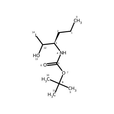 CCC[C@@H](NC(=O)OC(C)(C)C)C(O)I